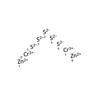 [Cr+3].[Cr+3].[S-2].[S-2].[S-2].[S-2].[S-2].[Zn+2].[Zn+2]